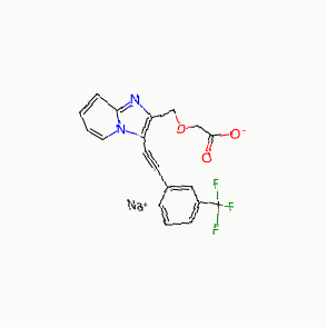 O=C([O-])COCc1nc2ccccn2c1C#Cc1cccc(C(F)(F)F)c1.[Na+]